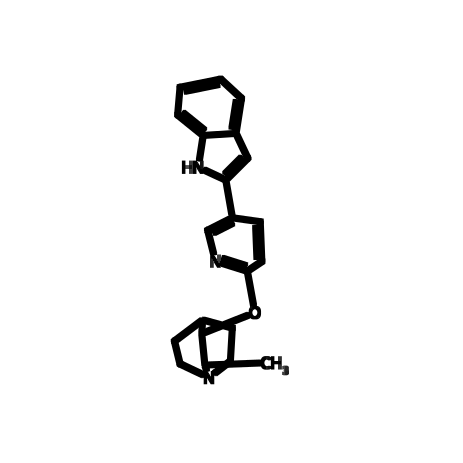 CC1C(Oc2ccc(-c3cc4ccccc4[nH]3)cn2)C2CCN1CC2